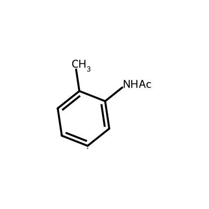 CC(=O)Nc1c[c]ccc1C